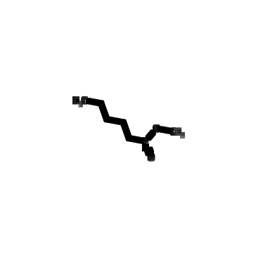 CCCCC[PH](=O)OC